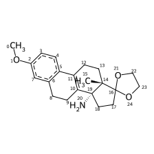 COc1ccc2c(c1)CCC1=C2CC[C@]2(C)C3(CC[C@@]12N)OCCO3